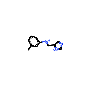 Cc1cccc(NCc2cnc[nH]2)c1